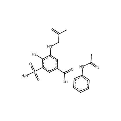 C=C(C)CNc1cc(C(=O)O)cc(S(N)(=O)=O)c1S.CC(=O)Nc1ccccc1